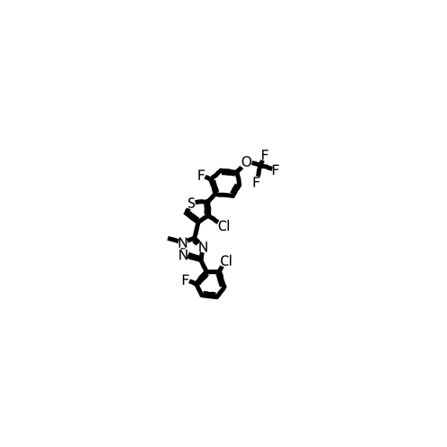 Cn1nc(-c2c(F)cccc2Cl)nc1-c1csc(-c2ccc(OC(F)(F)F)cc2F)c1Cl